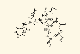 C=CC(=O)OCC(C)Nc1nc(NCCCOC)c(N=Nc2nn(-c3nc4ccccc4s3)cc2C#N)c(NC(C)COC)n1